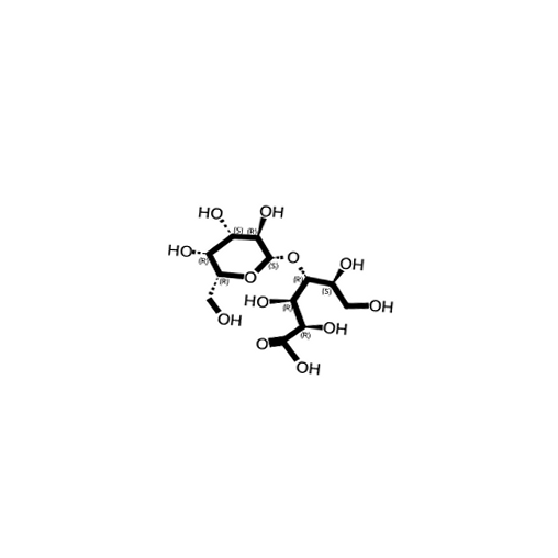 O=C(O)[C@H](O)[C@@H](O)[C@H](O[C@@H]1O[C@H](CO)[C@H](O)[C@H](O)[C@H]1O)[C@@H](O)CO